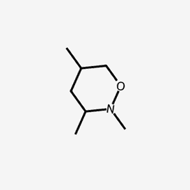 CC1CON(C)C(C)C1